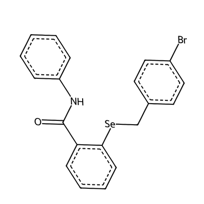 O=C(Nc1ccccc1)c1ccccc1[Se]Cc1ccc(Br)cc1